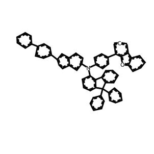 c1ccc(-c2ccc(-c3ccc4cc(N(c5ccc(-c6cccc7c6oc6ccccc67)cc5)c5cccc6c5-c5ccccc5C6(c5ccccc5)c5ccccc5)ccc4c3)cc2)cc1